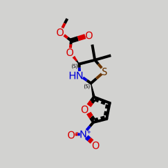 COC(=O)O[C@@H]1N[C@H](c2ccc([N+](=O)[O-])o2)SC1(C)C